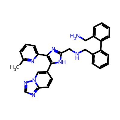 Cc1cccc(-c2nc(CNCc3ccccc3-c3ccccc3CN)[nH]c2-c2ccc3ncnn3c2)n1